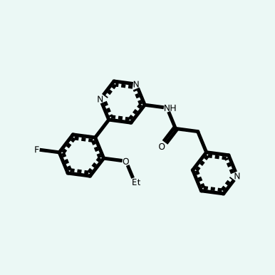 CCOc1ccc(F)cc1-c1cc(NC(=O)Cc2cccnc2)ncn1